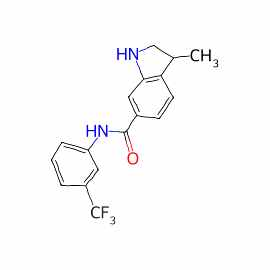 CC1CNc2cc(C(=O)Nc3cccc(C(F)(F)F)c3)ccc21